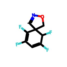 FC1=CC(F)=C(F)C2([C]=NOC2)C1F